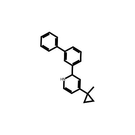 CC1(C2=CC(c3cccc(-c4ccccc4)c3)NC=C2)CC1